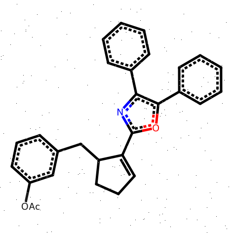 CC(=O)Oc1cccc(CC2CCC=C2c2nc(-c3ccccc3)c(-c3ccccc3)o2)c1